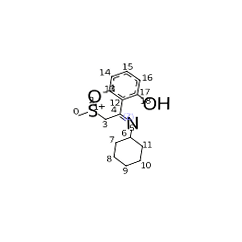 C[S+]([O-])C/C(=N\C1CCCCC1)c1ccccc1O